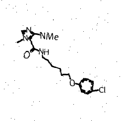 CNc1ncn(C)c1C(=O)NCCCCCCOc1ccc(Cl)cc1